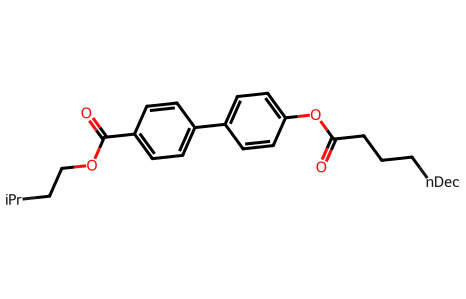 CCCCCCCCCCCCCC(=O)Oc1ccc(-c2ccc(C(=O)OCCC(C)C)cc2)cc1